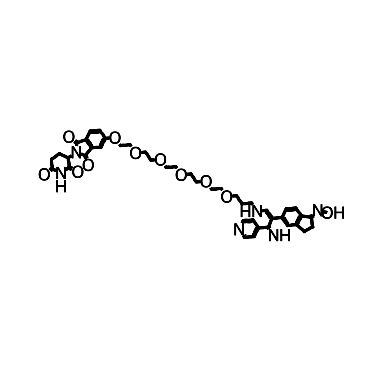 N=C(/C(=C\NCCCOCCOCCOCCOCCOCCOc1ccc2c(c1)C(=O)N(C1CCC(=O)NC1=O)C2=O)c1ccc2c(c1)CC/C2=N\O)c1ccncc1